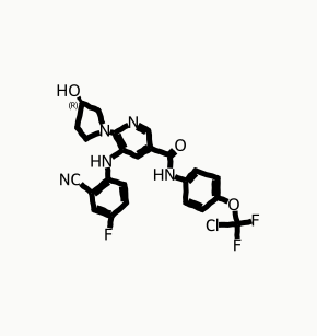 N#Cc1cc(F)ccc1Nc1cc(C(=O)Nc2ccc(OC(F)(F)Cl)cc2)cnc1N1CC[C@@H](O)C1